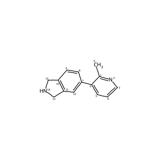 Cc1ncccc1-c1ccc2c(c1)CNC2